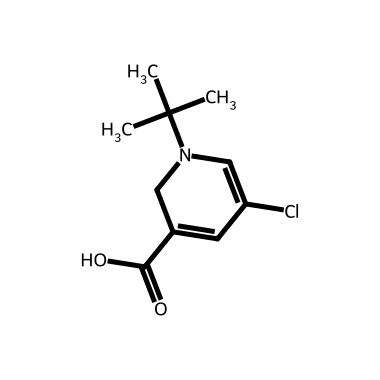 CC(C)(C)N1C=C(Cl)C=C(C(=O)O)C1